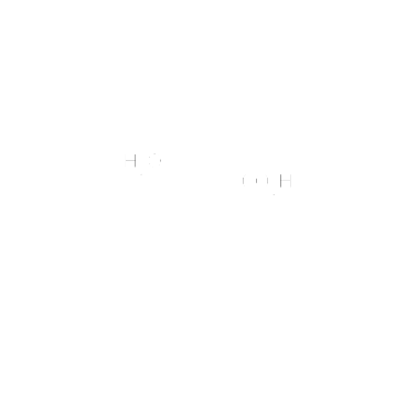 O.O=C(O)c1ccccc1